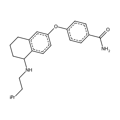 CC(C)CCNC1CCCc2cc(Oc3ccc(C(N)=O)cc3)ccc21